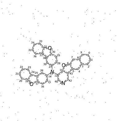 c1ccc2cc3c(cc2c1)oc1c(N(c2ccc4oc5ccccc5c4c2)c2ccc4oc5ccccc5c4c2)cncc13